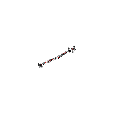 O=C(CCCCC1SCC2NC(=O)NC21)NCCOCCOCCOCCOCCOCCOCCOCCOCCOCCOCCOCCOCCC(=O)NCCCOCCOCCOCCCNC(=O)c1ccccc1O